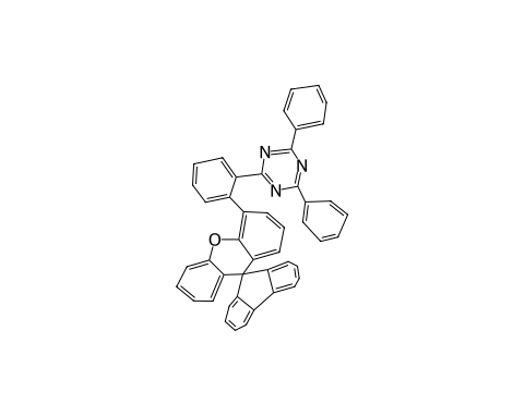 c1ccc(-c2nc(-c3ccccc3)nc(-c3ccccc3-c3cccc4c3Oc3ccccc3C43c4ccccc4-c4ccccc43)n2)cc1